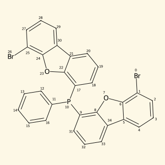 Brc1cccc2c1oc1c(P(c3ccccc3)c3cccc4c3oc3c(Br)cccc34)cccc12